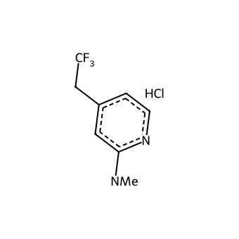 CNc1cc(CC(F)(F)F)ccn1.Cl